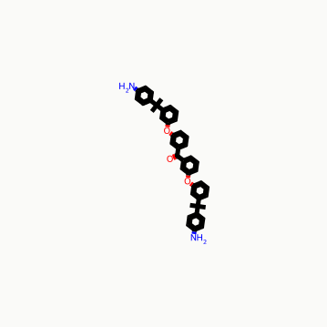 CC(C)(c1ccc(N)cc1)c1cccc(Oc2cccc(C(=O)c3cccc(Oc4cccc(C(C)(C)c5ccc(N)cc5)c4)c3)c2)c1